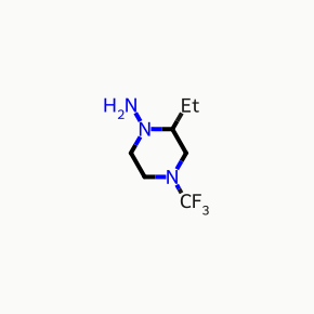 CCC1CN(C(F)(F)F)CCN1N